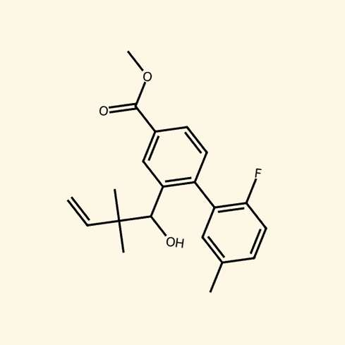 C=CC(C)(C)C(O)c1cc(C(=O)OC)ccc1-c1cc(C)ccc1F